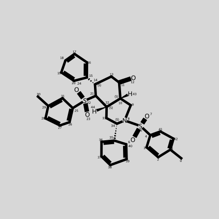 Cc1ccc(S(=O)(=O)N2C[C@H]3C(=O)C[C@@H](c4ccccc4)C(S(=O)(=O)c4cccc(C)c4)[C@H]3C[C@H]2c2ccccc2)cc1